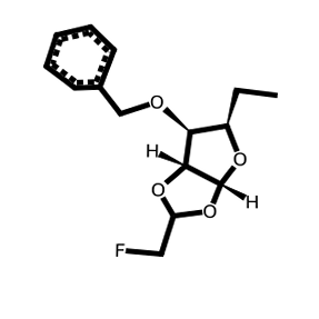 CC[C@H]1O[C@@H]2OC(CF)O[C@@H]2[C@H]1OCc1ccccc1